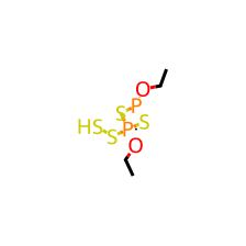 CCOP1S[P](OCC)(SS)S1